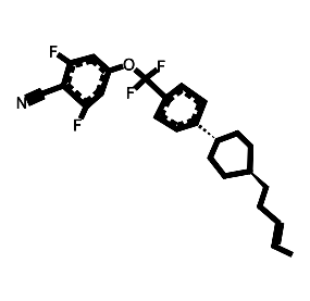 CC=CCC[C@H]1CC[C@H](c2ccc(C(F)(F)Oc3cc(F)c(C#N)c(F)c3)cc2)CC1